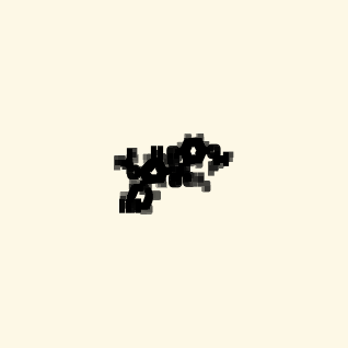 Cc1ccc(OC(F)F)cc1N(C)S(=O)(=O)c1ccc(OC(F)F)c(N2CCNCC2)c1